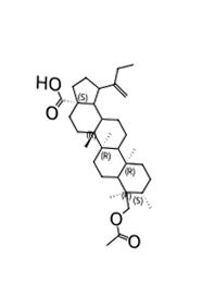 C=C(CC)C1CC[C@]2(C(=O)O)CC[C@]3(C)C(CCC4[C@@]5(C)CC[C@H](C)[C@@](C)(COC(C)=O)C5CC[C@]43C)C12